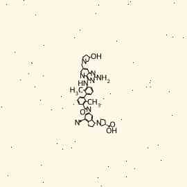 Cc1c(Nc2nc(N)nc3cc(CN4CC[C@@H](O)C4)cnc23)cccc1-c1cccc(-c2nc3cc4c(c(C#N)c3o2)CC[C@H]4N2CC[C@@H](C(=O)O)C2)c1C